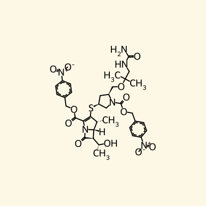 C[C@@H](O)[C@H]1C(=O)N2C(C(=O)OCc3ccc([N+](=O)[O-])cc3)=C(S[C@H]3C[C@@H](COC(C)(C)CNC(N)=O)N(C(=O)OCc4ccc([N+](=O)[O-])cc4)C3)[C@H](C)[C@H]12